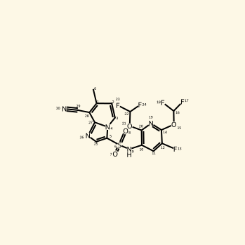 Cc1ccn2c(S(=O)(=O)Nc3cc(F)c(OC(F)F)nc3OC(F)F)cnc2c1C#N